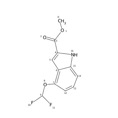 COC(=O)c1cc2c(OC(F)F)cccc2[nH]1